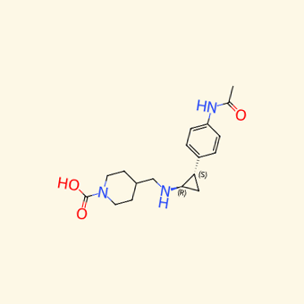 CC(=O)Nc1ccc([C@@H]2C[C@H]2NCC2CCN(C(=O)O)CC2)cc1